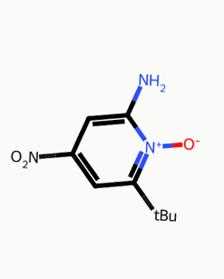 CC(C)(C)c1cc([N+](=O)[O-])cc(N)[n+]1[O-]